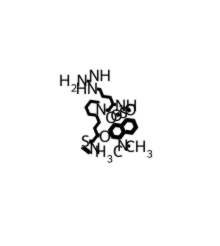 CN(C)c1cccc2c(S(=O)(=O)NC(CCCNC(=N)N)C(=O)N3CCCCC3CCC(=O)c3nccs3)cccc12